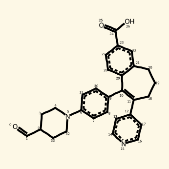 O=CC1CCN(c2ccc(C3=C(c4ccncc4)CCCc4cc(C(=O)O)ccc43)cc2)CC1